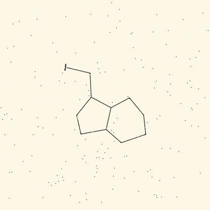 ICC1CCC2CCCCC12